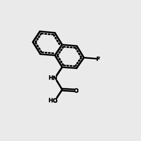 O=C(O)Nc1cc(F)cc2ccccc12